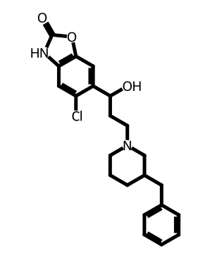 O=c1[nH]c2cc(Cl)c(C(O)CCN3CCCC(Cc4ccccc4)C3)cc2o1